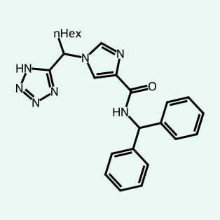 CCCCCCC(c1nnn[nH]1)n1cnc(C(=O)NC(c2ccccc2)c2ccccc2)c1